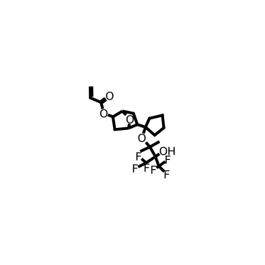 C=CC(=O)OC1CC2OC1CC2C1(OC(C)(C)C(O)(C(F)(F)F)C(F)(F)F)CCCC1